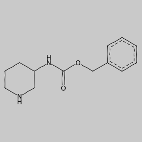 O=C(NC1CCCNC1)OCc1ccccc1